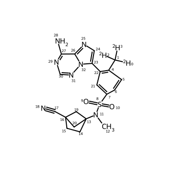 [2H]C([2H])([2H])c1ccc(S(=O)(=O)N(C)C23CCC(C#N)(C2)C3)cc1-c1cnc2c(N)ncnn12